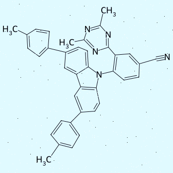 Cc1ccc(-c2ccc3c(c2)c2cc(-c4ccc(C)cc4)ccc2n3-c2ccc(C#N)cc2-c2nc(C)nc(C)n2)cc1